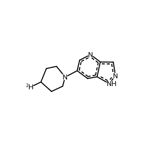 [2H]C1CCN(c2cnc3cn[nH]c3c2)CC1